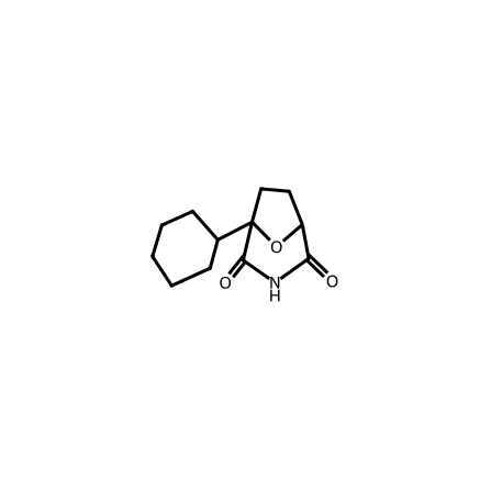 O=C1NC(=O)C2(C3CCCCC3)CCC1O2